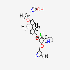 Cc1c(COc2cc(OCc3cncc(C#N)c3)c(CN3CCCC[C@H]3C(=O)O)cc2Cl)cccc1-c1cccc(O[C@H](C)CCN2CC[C@@H](O)C2)c1C